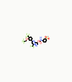 CS(=O)(=O)c1cccc(NC(=O)Oc2cnn3c(C(F)F)cc(-c4ccc(C(F)(F)F)c(OCC(F)(F)F)c4)nc23)c1